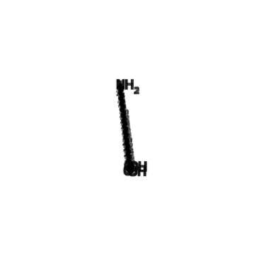 NCCCCCCCCCCCCCCCCCCCCCCCCCCCCOP(=O)(O)O